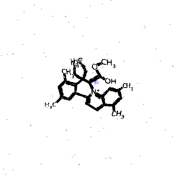 CCC1(CC)/C(=C(/O)OC)[n+]2c(ccc3c(C)cc(C)cc32)-c2cc(C)cc(C)c21